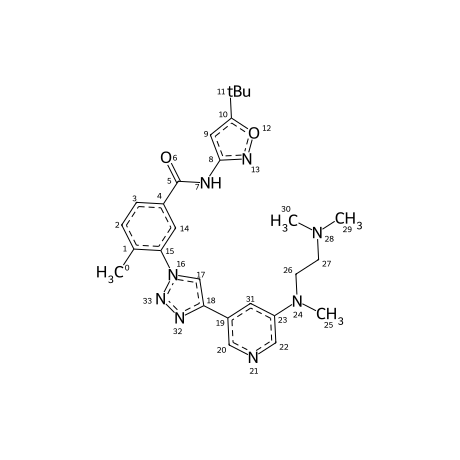 Cc1ccc(C(=O)Nc2cc(C(C)(C)C)on2)cc1-n1cc(-c2cncc(N(C)CCN(C)C)c2)nn1